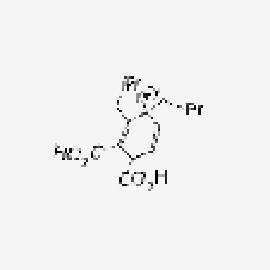 CCCC1(CC(C)C)C=CC(C(=O)O)C(C(=O)O)=C1CC(C)C